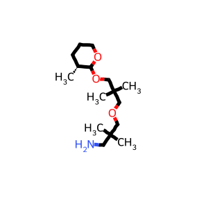 C[C@@H]1CCCOC1OCC(C)(C)COCC(C)(C)CN